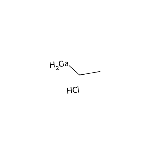 C[CH2][GaH2].Cl